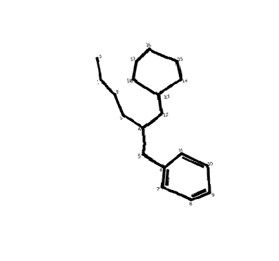 CCCC[C](Cc1ccccc1)CC1CCCCC1